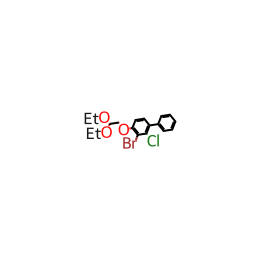 CCOC(COc1ccc(-c2ccccc2)c(Cl)c1Br)OCC